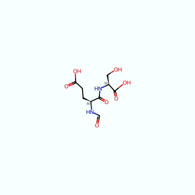 O=CN[C@@H](CCC(=O)O)C(=O)N[C@@H](CO)C(=O)O